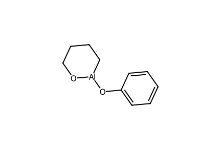 c1ccc([O][Al]2[CH2]CCC[O]2)cc1